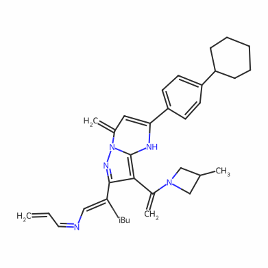 C=C/C=N\C=C(\c1nn2c(c1C(=C)N1CC(C)C1)NC(c1ccc(C3CCCCC3)cc1)=CC2=C)C(C)CC